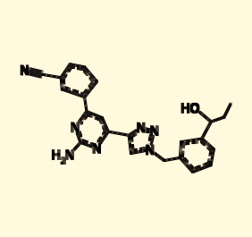 CCC(O)c1cccc(Cn2cc(-c3cc(-c4cccc(C#N)c4)nc(N)n3)nn2)c1